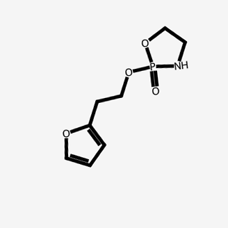 O=P1(OCCc2ccco2)NCCO1